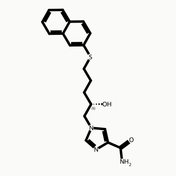 NC(=O)c1cn(C[C@@H](O)CCCSc2ccc3ccccc3c2)cn1